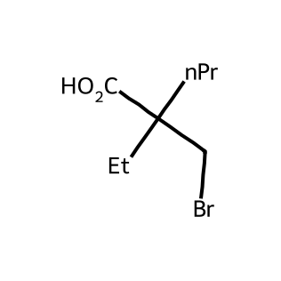 CCCC(CC)(CBr)C(=O)O